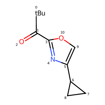 CC(C)(C)C(=O)c1nc(C2CC2)co1